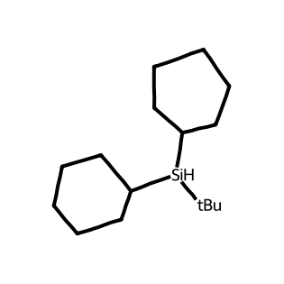 CC(C)(C)[SiH](C1CCCCC1)C1CCCCC1